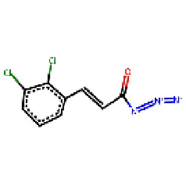 [N-]=[N+]=NC(=O)/C=C/c1cccc(Cl)c1Cl